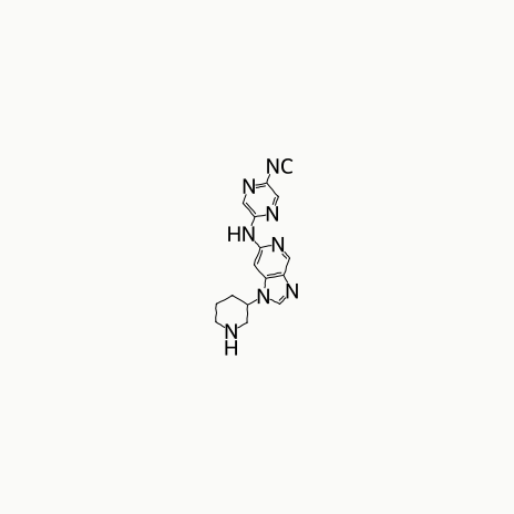 [C-]#[N+]c1cnc(Nc2cc3c(cn2)ncn3C2CCCNC2)cn1